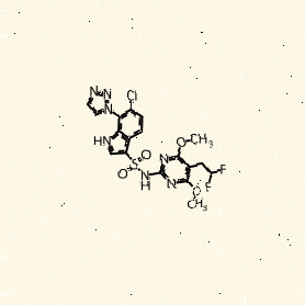 COc1nc(NS(=O)(=O)c2c[nH]c3c(-n4ccnn4)c(Cl)ccc23)nc(OC)c1CC(F)F